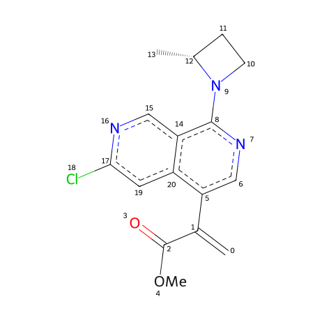 C=C(C(=O)OC)c1cnc(N2CC[C@H]2C)c2cnc(Cl)cc12